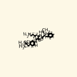 CCN[C@@H](Cc1ccccc1)C(=O)N[C@@H](CCCCN)C(=O)C(=O)Nc1ccc(CC(C)(C)C)cc1